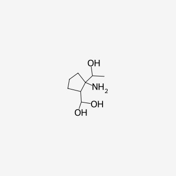 CC(O)C1(N)CCCC1C(O)O